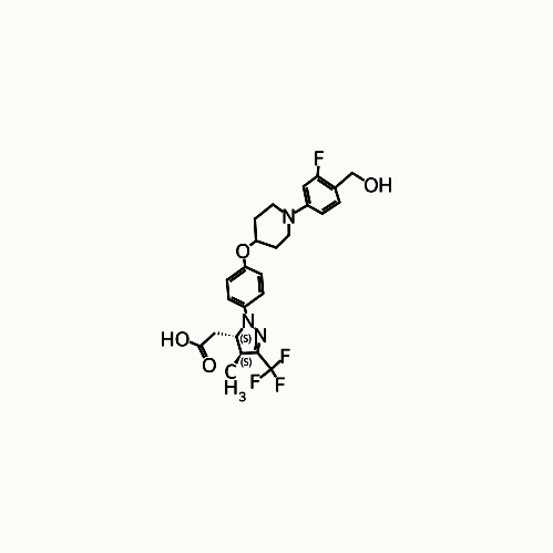 C[C@@H]1C(C(F)(F)F)=NN(c2ccc(OC3CCN(c4ccc(CO)c(F)c4)CC3)cc2)[C@H]1CC(=O)O